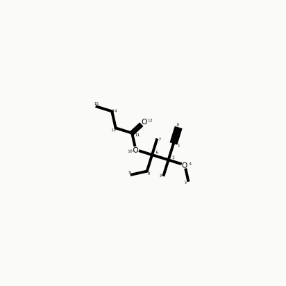 C#CC(C)(OC)C(C)(CC)OC(=O)CCC